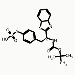 CC(C)(C)OC(=O)N[C@@H](Cc1ccc(NS(=O)(=O)O)cc1)C1=NC2C=CC=CC2S1